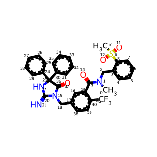 CN(Cc1ccccc1S(C)(=O)=O)C(=O)c1cc(CN2C(=N)NC(c3ccccc3)(c3ccccc3)C2=O)ccc1C(F)(F)F